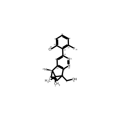 CC1(C)[C@@H]2C=CC1(CO)c1nnc(-c3c(F)cccc3Cl)cc12